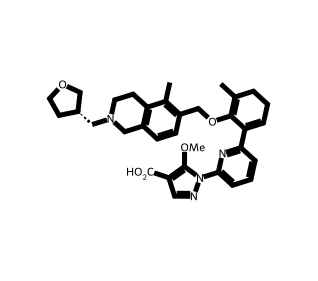 COc1c(C(=O)O)cnn1-c1cccc(C2=CCCC(C)=C2OCc2ccc3c(c2C)CCN(C[C@@H]2CCOC2)C3)n1